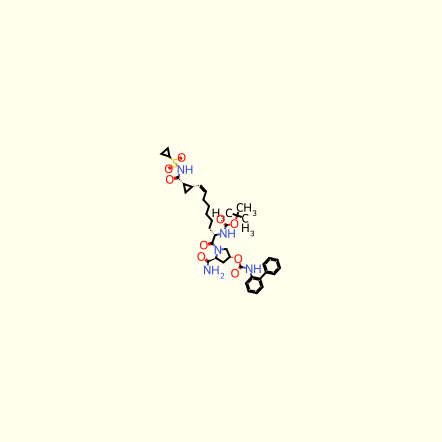 CC(C)(C)OC(=O)N[C@@H](CCCCC/C=C\[C@@H]1C[C@@H]1C(=O)NS(=O)(=O)C1CC1)C(=O)N1C[C@H](OC(=O)Nc2ccccc2-c2ccccc2)C[C@H]1C(N)=O